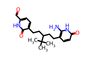 CC(C)(C)C(CCc1ccc(=O)[nH]c1N)CCc1ccc(C=O)[nH]c1=O